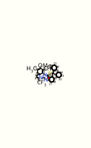 COC1=C(C)CC23C=CC=C(C(F)(F)F)N2c2ncc(SC(c4ccccc4)(c4ccccc4)c4ccccc4)n2C3=C1C